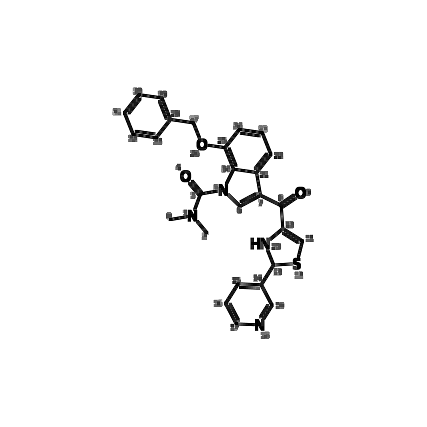 CN(C)C(=O)n1cc(C(=O)C2=CSC(c3cccnc3)N2)c2cccc(OCc3ccccc3)c21